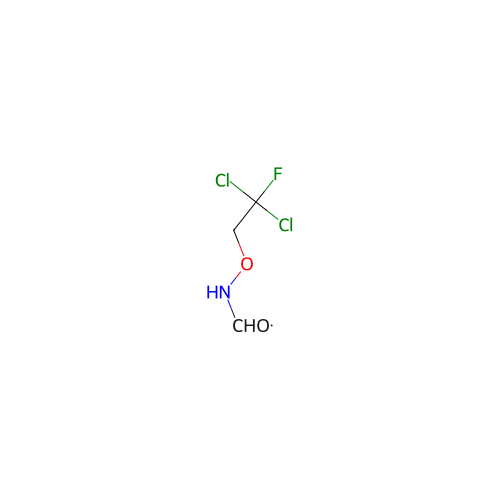 O=[C]NOCC(F)(Cl)Cl